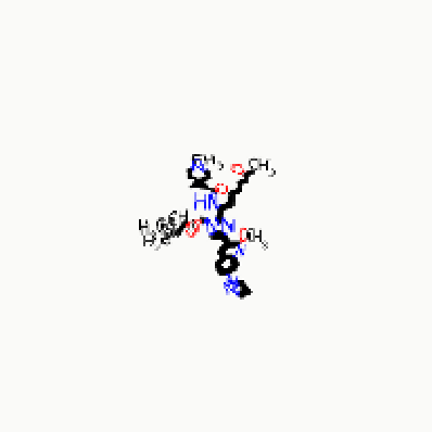 CCC(=O)CCCCCC(NC(=O)[C@H]1CC12CCN(C)CC2)c1nc(-c2cc3ccc(-n4cccn4)cc3nc2OC)cn1COCC[Si](C)(C)C